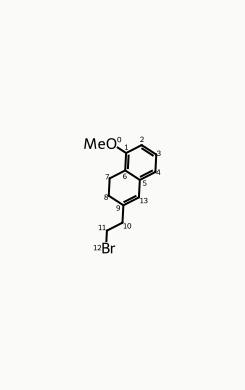 COc1cccc2c1CCC(CCBr)=C2